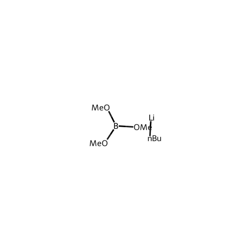 COB(OC)OC.[Li][CH2]CCC